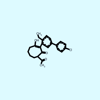 CCc1ccc(-c2ccc(Cl)cc2)cc1/C1=C(\O)CCCCC(C(C)=O)C1=O